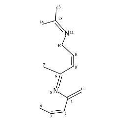 C=C(/C=C\C)/N=C(C)\C=C/CN=C(C)C